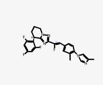 Cc1cn(-c2ccc(/C=C(\F)c3nc4n(n3)CCC[C@@H]4c3c(F)cc(F)cc3F)cc2C)cn1